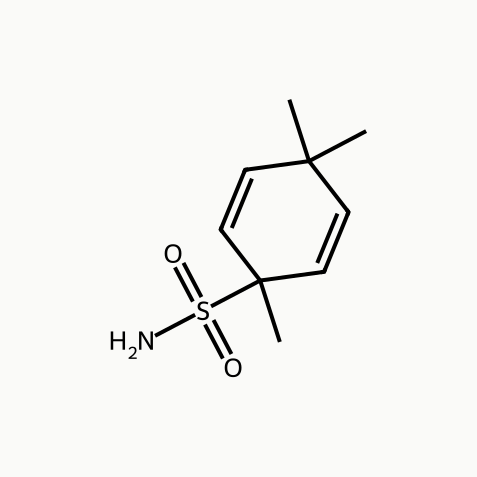 CC1(C)C=CC(C)(S(N)(=O)=O)C=C1